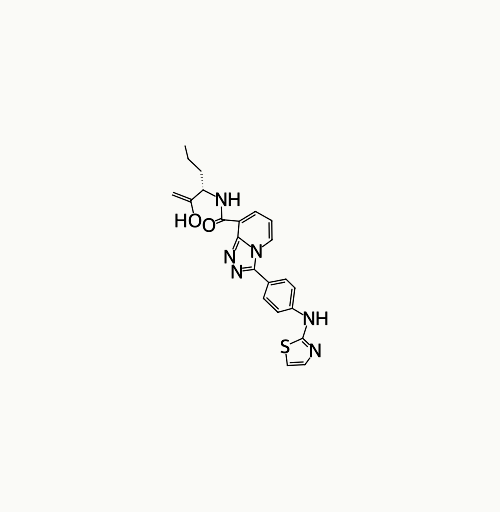 C=C(O)[C@H](CCC)NC(=O)c1cccn2c(-c3ccc(Nc4nccs4)cc3)nnc12